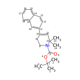 CC(C)(C)OC(=O)N1CCC(c2ccc3ccccc3c2)=CC1(C)C